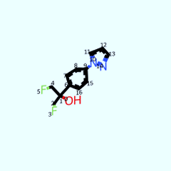 OC(CF)(CF)c1ccc(-n2cccn2)cc1